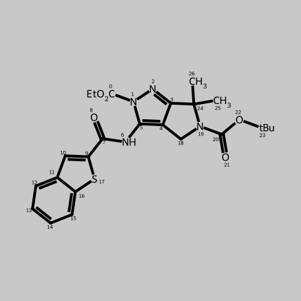 CCOC(=O)n1nc2c(c1NC(=O)c1cc3ccccc3s1)CN(C(=O)OC(C)(C)C)C2(C)C